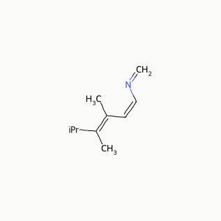 C=N/C=C\C(C)=C(/C)C(C)C